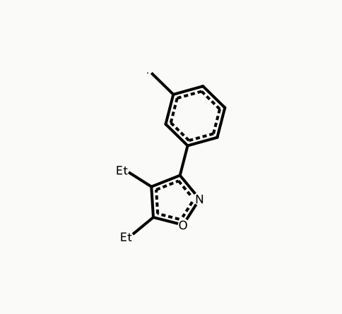 [CH2]c1cccc(-c2noc(CC)c2CC)c1